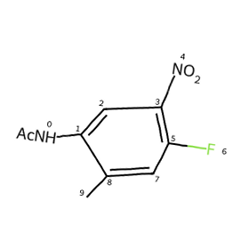 CC(=O)Nc1cc([N+](=O)[O-])c(F)cc1C